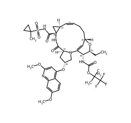 CC[C@@H]1O[C@@H]2C=C([C@H]1NC(=O)OC(C)(C)C(F)(F)F)N1C[C@H](Oc3cc(OC)nc4cc(OC)ccc34)C[C@H]1C(=O)N[C@]1(C(=O)NS(=O)(=O)C3(C)CC3)C[C@H]1/C=C\CC2